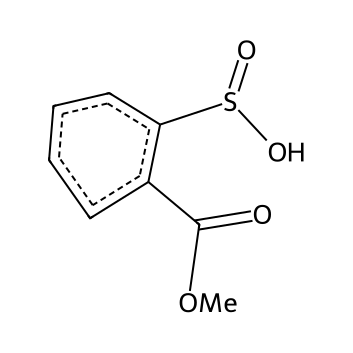 COC(=O)c1ccccc1S(=O)O